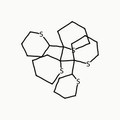 C1CCC(C2(C3(C4(C5CCCCS5)CCCCS4)CCCCS3)CCCCS2)SC1